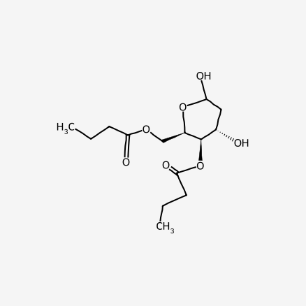 CCCC(=O)OC[C@H]1OC(O)C[C@H](O)[C@H]1OC(=O)CCC